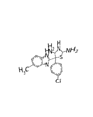 Cc1ccc2[nH]c(C3(c4ccc(Cl)cc4)SC(N)NC3N)nc2c1